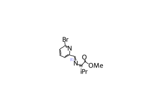 COC(=O)[C@@H](/N=C/c1cccc(Br)n1)C(C)C